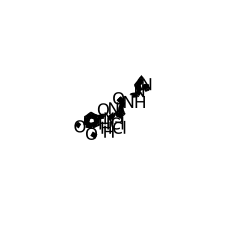 COc1ccc(C(=O)Nc2nc(C(=O)NCCn3ccnc3)cs2)cc1OC.Cl.Cl